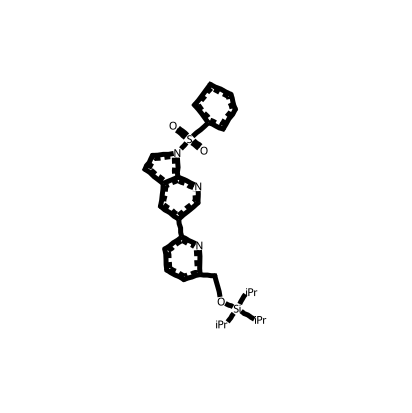 CC(C)[Si](OCc1cccc(-c2cnc3c(ccn3S(=O)(=O)c3ccccc3)c2)n1)(C(C)C)C(C)C